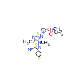 CCc1nc2sc(N3CC[C@@H](OC(=O)N(C)C)C3)nn2c1N(C)c1nc(-c2ccc(F)cc2)c(C#N)s1